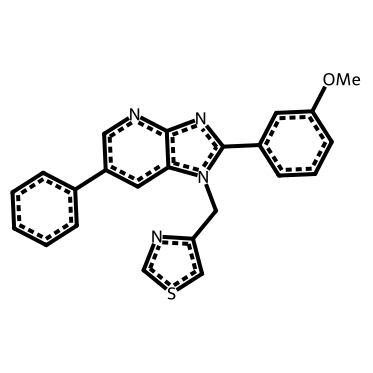 COc1cccc(-c2nc3ncc(-c4ccccc4)cc3n2Cc2cscn2)c1